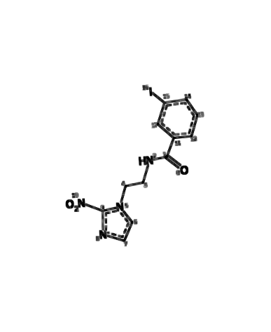 O=C(NCCn1ccnc1[N+](=O)[O-])c1cccc(I)c1